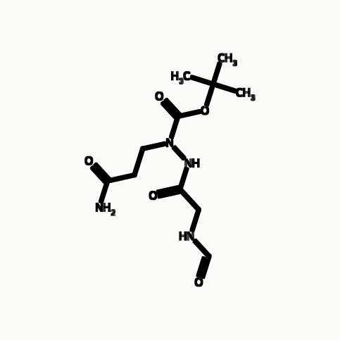 CC(C)(C)OC(=O)N(CCC(N)=O)NC(=O)CNC=O